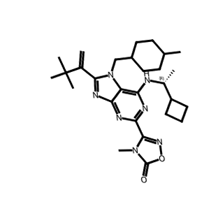 C=C(c1nc2nc(-c3noc(=O)n3C)nc(N[C@H](C)C3CCC3)c2n1CC1CCC(C)CC1)C(C)(C)C